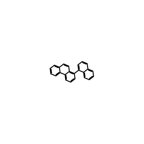 c1ccc2c(-c3cccc4c3ccc3ccccc34)cccc2c1